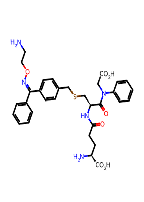 NCCON=C(c1ccccc1)c1ccc(CSC[C@H](NC(=O)CC[C@H](N)C(=O)O)C(=O)N(CC(=O)O)c2ccccc2)cc1